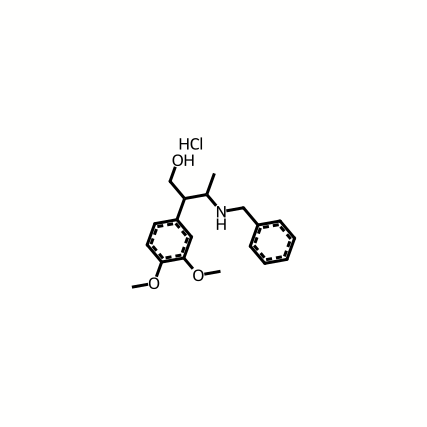 COc1ccc(C(CO)C(C)NCc2ccccc2)cc1OC.Cl